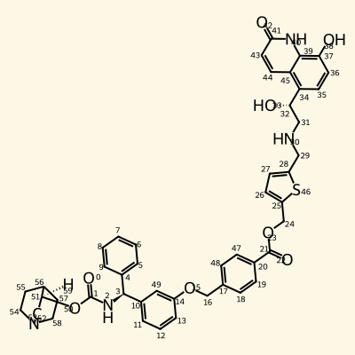 O=C(N[C@@H](c1ccccc1)c1cccc(OCc2ccc(C(=O)OCc3ccc(CNC[C@H](O)c4ccc(O)c5[nH]c(=O)ccc45)s3)cc2)c1)O[C@H]1CN2CCC1CC2